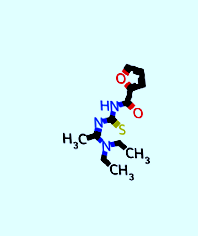 CCN(CC)/C(C)=N\C(=S)NC(=O)c1ccco1